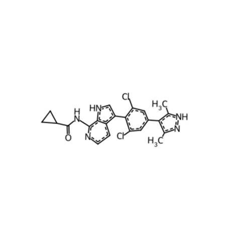 Cc1n[nH]c(C)c1-c1cc(Cl)c(-c2c[nH]c3c(NC(=O)C4CC4)nccc23)c(Cl)c1